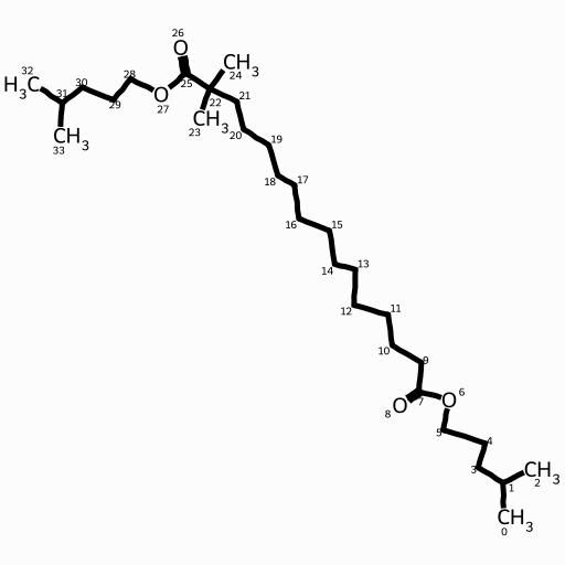 CC(C)CCCOC(=O)CCCCCCCCCCCCCC(C)(C)C(=O)OCCCC(C)C